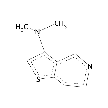 CN(C)c1csc2ccncc12